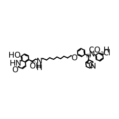 O=C(O)N(c1cccc(Cl)c1)[C@@H](c1cccc(OCCCCCCCCCNC[C@H](O)c2ccc(O)c3[nH]c(=O)ccc23)c1)C1CN2CCC1CC2